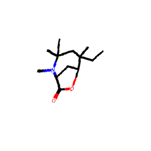 CCC1(C)CC(C)(C)N(C)C2CC1OC2=O